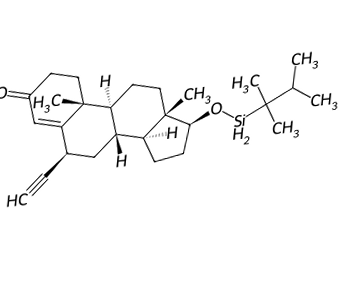 C#C[C@@H]1C[C@H]2[C@@H]3CC[C@H](O[SiH2]C(C)(C)C(C)C)[C@@]3(C)CC[C@@H]2[C@@]2(C)CCC(=O)C=C12